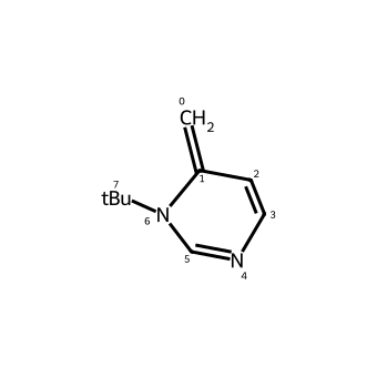 C=C1C=CN=CN1C(C)(C)C